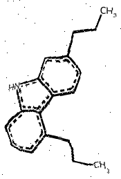 CCCc1ccc2c(c1)[nH]c1cccc(CCC)c12